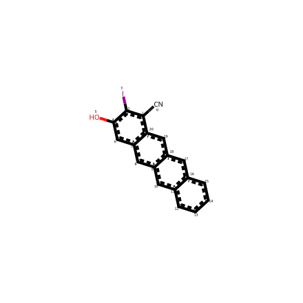 N#Cc1c(I)c(O)cc2cc3cc4ccccc4cc3cc12